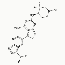 COc1nc(N[C@@H]2CCN(C(C)=O)CC2(F)F)nn2ccc(-c3cnc4ncc(C(F)F)n4c3)c12